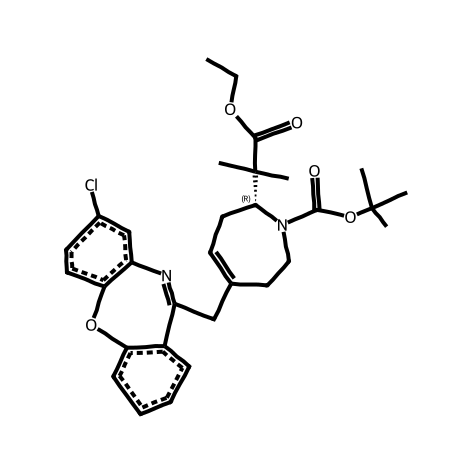 CCOC(=O)C(C)(C)[C@H]1CC=C(CC2=Nc3cc(Cl)ccc3Oc3ccccc32)CCN1C(=O)OC(C)(C)C